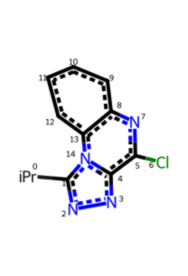 CC(C)c1nnc2c(Cl)nc3ccccc3n12